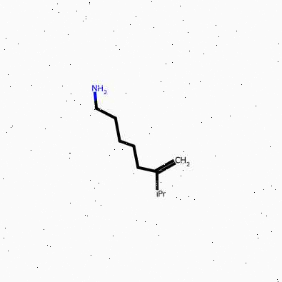 C=C(CCCCCN)C(C)C